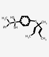 CC=CC(C)(C=CC)Sc1ccc(S(S)(S)N(C)C(C)C)cc1